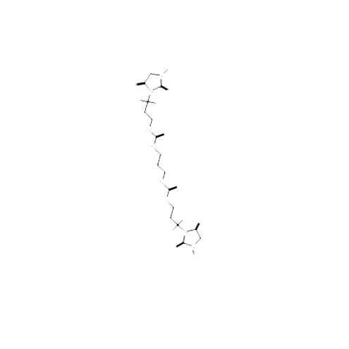 CCN1CC(=O)N(C(C)(C)CCNC(=S)NCCCNC(=S)NCCC(C)(C)N2C(=O)CN(CC)C2=S)C1=S